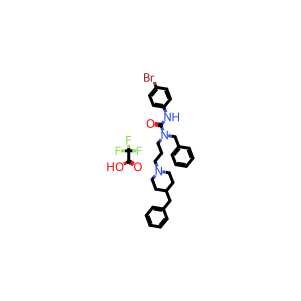 O=C(Nc1ccc(Br)cc1)N(CCCN1CCC(Cc2ccccc2)CC1)Cc1ccccc1.O=C(O)C(F)(F)F